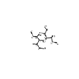 CCC(C)C(OC(C(C)CC)C(C)CC)C(C)CC